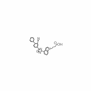 N#Cc1cc(-c2nc(-c3cccc4c3ccn4CCCC(=O)O)no2)ccc1-c1ccccc1